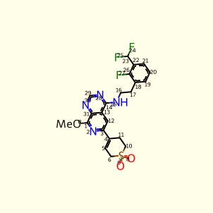 COc1nc(C2=CCS(=O)(=O)CC2)cc2c(NCCc3cccc(C(F)F)c3F)ncnc12